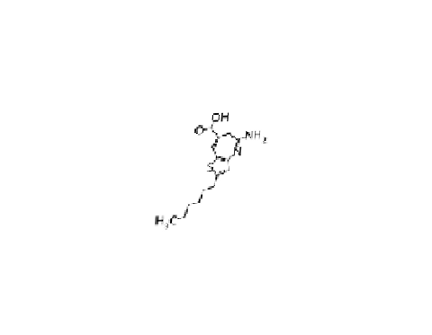 CCCCCCc1cc2c(s1)C=C(C(=O)O)CC(N)=N2